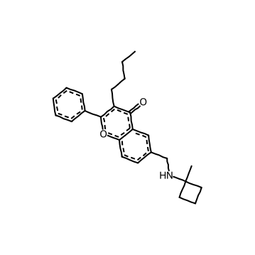 CCCCc1c(-c2ccccc2)oc2ccc(CNC3(C)CCC3)cc2c1=O